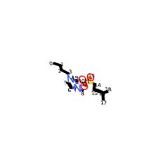 CCCCN1C=CN(C)C1OS(=O)(=O)CC=C(C)C